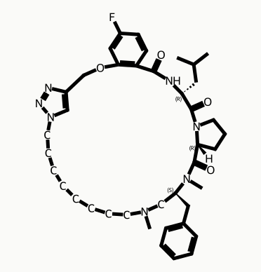 CC(C)C[C@H]1NC(=O)c2ccc(F)cc2OCc2cn(nn2)CCCCCCCCN(C)C[C@H](Cc2ccccc2)N(C)C(=O)[C@H]2CCCN2C1=O